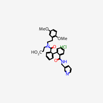 COc1ccc(OC)c(CCN(CCC(=O)O)C(=O)c2ccccc2-c2ccccc2C(=O)NCc2cccnc2)c1.Cl